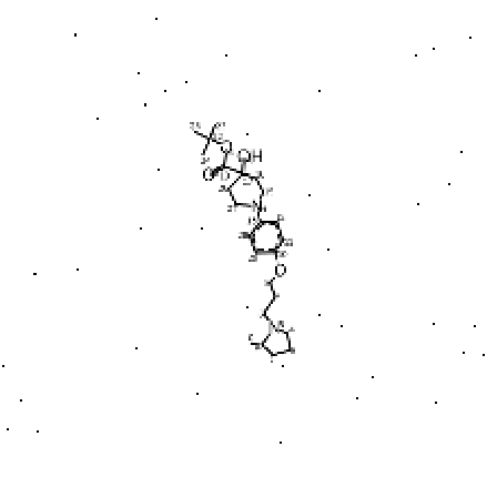 C[C@@H]1CCCN1CCCOc1ccc(N2CCC(O)(C(=O)OC(C)(C)C)CC2)cc1